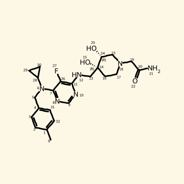 Cc1ccc(CN(c2ncnc(NC[C@]3(O)CCN(CC(N)=O)C[C@H]3O)c2F)C2CC2)cc1